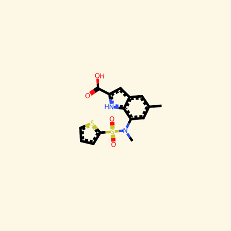 Cc1cc(N(C)S(=O)(=O)c2cccs2)c2[nH]c(C(=O)O)cc2c1